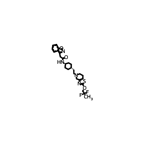 CC(F)(F)COc1nc2c(s1)CCN(CC[C@H]1CC[C@H](NC(=O)Cc3noc4ccccc34)CC1)C2